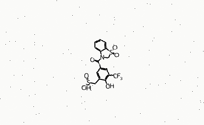 O=C(c1cc(C[SH](=O)=O)c(O)c(C(F)(F)F)c1)N1CS(=O)(=O)c2ccccc21